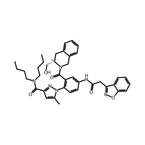 CCCCN(CCCC)C(=O)c1cc(C)n(-c2ccc(NC(=O)Cc3noc4ccccc34)cc2C(=O)N2Cc3ccccc3C[C@H]2CO)n1